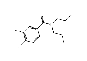 CCCN(CCC)C(=O)c1ccc(Br)c(C)c1